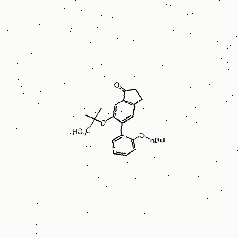 CCCCOc1ccccc1-c1cc2c(cc1OC(C)(C)C(=O)O)C(=O)CC2